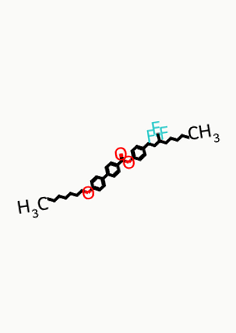 CCCCCCCCOc1ccc(-c2ccc(C(=O)Oc3ccc(CCC(CCCCCC)C(F)(F)F)cc3)cc2)cc1